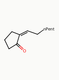 CCCCCC/C=C1/CCCC1=O